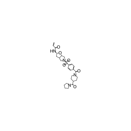 C=CC(=O)NC1CC2CN(S(=O)(=O)c3ccc(C(=O)N4CCC(C(=O)N5CCCC5)CC4)cc3)CC2O1